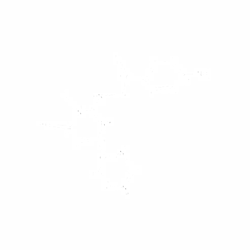 Cn1c(NCC(=O)c2ccc([N+](=O)[O-])cc2)nc(-c2ccncn2)cc1=O